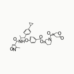 Cc1nocc1C(=O)NC(C)C(Oc1ccc(C(=O)O[C@H]2CCCN(C(=O)[C@H]3COC(=O)C3)C2)cc1)c1ccc(C2CC2)cc1